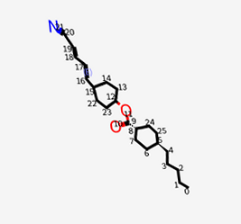 CCCCC[C@H]1CC[C@H](C(=O)OC2CCC(/C=C/C=CC#N)CC2)CC1